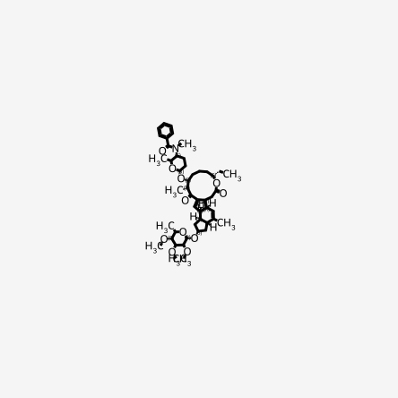 CC[C@H]1CCC[C@H](O[C@H]2CC[C@H](N(C)C(=O)c3ccccc3)C(C)O2)[C@@H](C)C(=O)C2=C[C@@H]3[C@@H](C=C(C)[C@@H]4C[C@@H](O[C@@H]5OC(C)[C@H](OC)C(OC)C5OC)C[C@@H]34)[C@@H]2CC(=O)O1